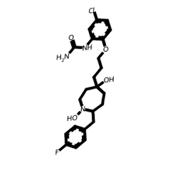 NC(=O)Nc1cc(Cl)ccc1OCCCC1(O)CCC(Cc2ccc(F)cc2)N(O)CC1